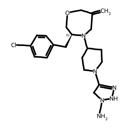 C=C1COC[C@H](Cc2ccc(Cl)cc2)N(C2CCN(C3=NNN(N)C3)CC2)C1